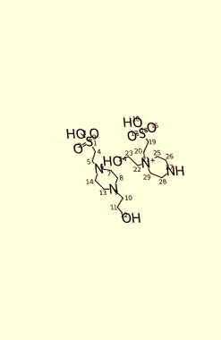 O=S(=O)(O)CCN1CCN(CCO)CC1.O=S(=O)(O)CC[N+]1(CCO)CCNCC1